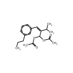 CCCc1cccc(C=C(C(C)C)C(OC(C)=O)OC(C)=O)c1